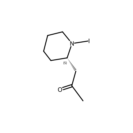 CC(=O)C[C@@H]1CCCCN1I